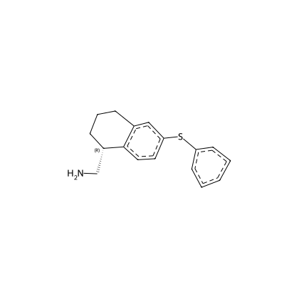 NC[C@@H]1CCCc2cc(Sc3ccccc3)ccc21